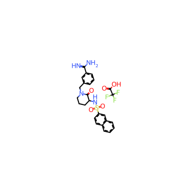 N=C(N)c1cccc(CN2CCCC(NS(=O)(=O)c3ccc4ccccc4c3)C2=O)c1.O=C(O)C(F)(F)F